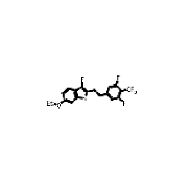 CCOc1ccc2c(F)c(CCc3cc(F)c(C(F)(F)F)c(F)c3)sc2c1